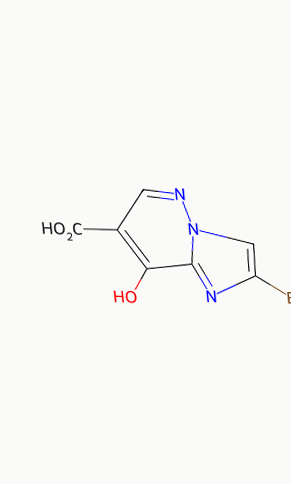 O=C(O)c1cnn2cc(Br)nc2c1O